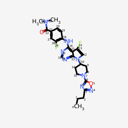 CCCc1noc(N2CCC(n3cc(F)c4c(Nc5ccc(C(=O)N(C)C)cc5F)ncnc43)CC2)n1